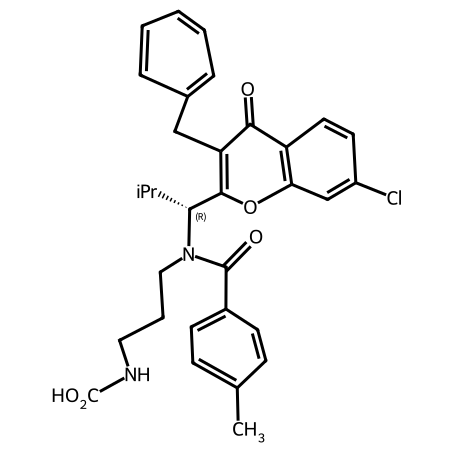 Cc1ccc(C(=O)N(CCCNC(=O)O)[C@@H](c2oc3cc(Cl)ccc3c(=O)c2Cc2ccccc2)C(C)C)cc1